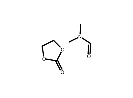 CN(C)C=O.O=C1OCCO1